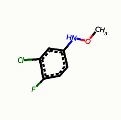 CONc1ccc(F)c(Cl)c1